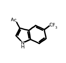 CC(=O)c1c[nH]c2ccc(C(F)(F)F)cc12